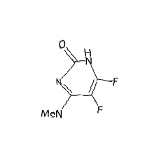 CNc1nc(=O)[nH]c(F)c1F